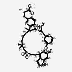 C[C@@H](Cc1cccc(C2(C)CCCC(C)(C)CS(=O)(=O)CCc3c(c(F)cc4[nH]ccc34)Oc3ccnc(c3)-c3nc2nn3C)n1)C(=O)O